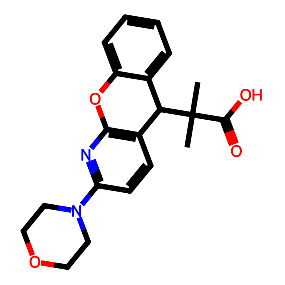 CC(C)(C(=O)O)C1c2ccccc2Oc2nc(N3CCOCC3)ccc21